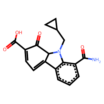 NC(=O)c1cccc2c1N(CC1CC1)C1C(=O)C(C(=O)O)=CC=C21